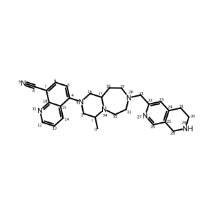 CC1CN(c2ccc(C#N)c3ncccc23)CC2CCN(Cc3cc4c(cn3)CNCC4)CCN12